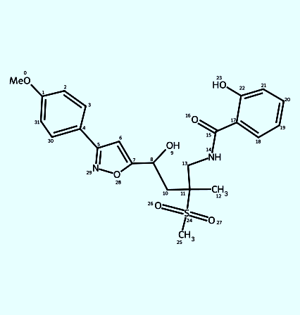 COc1ccc(-c2cc(C(O)CC(C)(CNC(=O)c3ccccc3O)S(C)(=O)=O)on2)cc1